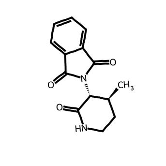 C[C@H]1CCNC(=O)[C@@H]1N1C(=O)c2ccccc2C1=O